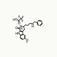 COc1ccc2[nH]c3c(c2c1)CC(CCCNCc1ccccc1)NC3=O.O=C(O)C(F)(F)F